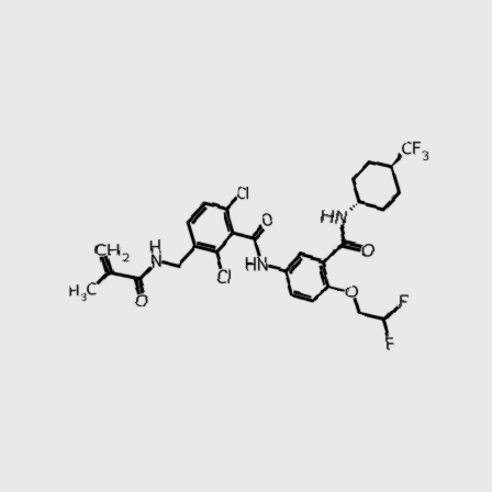 C=C(C)C(=O)NCc1ccc(Cl)c(C(=O)Nc2ccc(OCC(F)F)c(C(=O)N[C@H]3CC[C@H](C(F)(F)F)CC3)c2)c1Cl